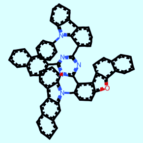 c1ccc(-n2c3ccccc3c3cccc(-c4nc(-c5ccc6ccccc6c5)nc(-c5c(-n6c7ccccc7c7cc8ccccc8cc76)ccc6oc7c8ccccc8ccc7c56)n4)c32)cc1